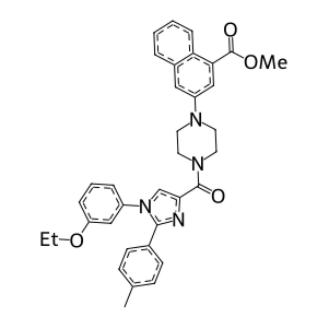 CCOc1cccc(-n2cc(C(=O)N3CCN(c4cc(C(=O)OC)c5ccccc5c4)CC3)nc2-c2ccc(C)cc2)c1